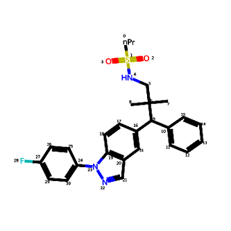 CCCS(=O)(=O)NCC(C)(C)C(c1ccccc1)c1ccc2c(cnn2-c2ccc(F)cc2)c1